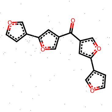 O=C(c1coc(-c2ccoc2)c1)c1coc(-c2ccoc2)c1